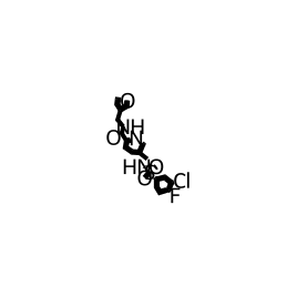 O=C(NCc1ccoc1)c1ccc(CNS(=O)(=O)c2ccc(F)c(Cl)c2)cn1